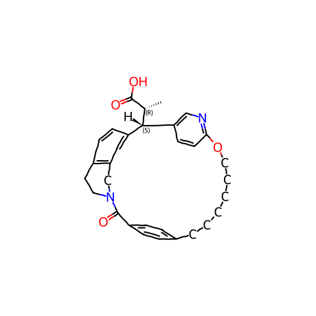 C[C@@H](C(=O)O)[C@@H]1c2ccc(nc2)OCCCCCCc2ccc(cc2)C(=O)N2CCc3ccc1cc3C2